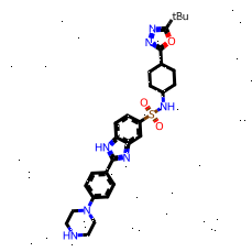 CC(C)(C)c1nnc(C2CCC(NS(=O)(=O)c3ccc4[nH]c(-c5ccc(N6CCNCC6)cc5)nc4c3)CC2)o1